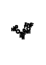 [C-]#[N+]c1ccc(NC(=O)[C@@](C)(O)CNc2ccc(NC(C)=O)cc2)cc1C(F)(F)F